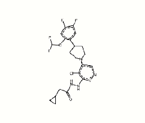 O=C(CC1CC1)NNc1nncc(N2CCC(c3cc(F)c(F)cc3OC(F)F)CC2)c1Cl